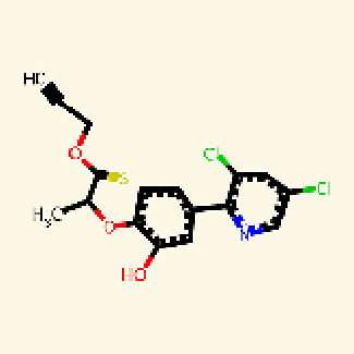 C#CCOC(=S)C(C)Oc1ccc(-c2ncc(Cl)cc2Cl)cc1O